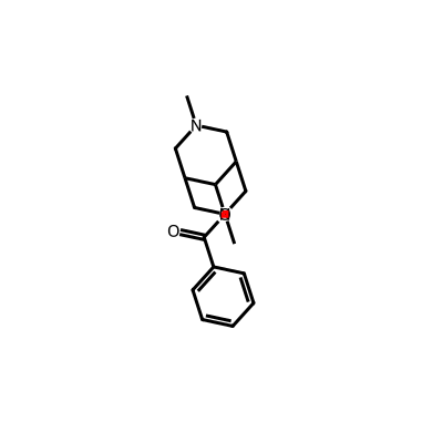 CN1CC2CN(C)CC(C1)C2OC(=O)c1ccccc1